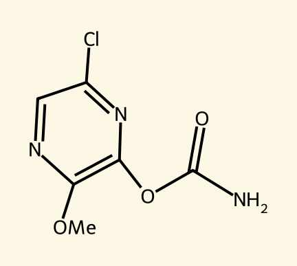 COc1ncc(Cl)nc1OC(N)=O